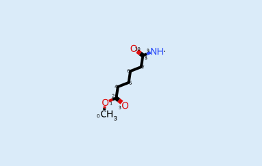 COC(=O)CCCCC([NH])=O